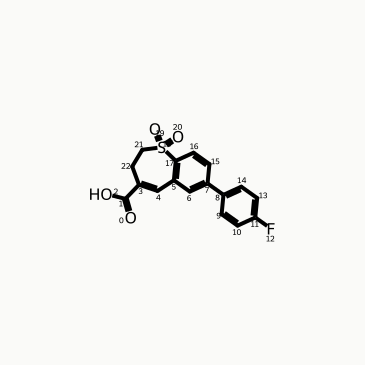 O=C(O)C1=Cc2cc(-c3ccc(F)cc3)ccc2S(=O)(=O)CC1